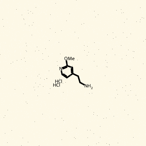 COc1cc(CCN)ccn1.Cl.Cl